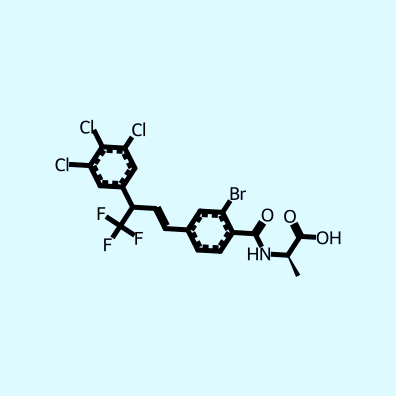 C[C@@H](NC(=O)c1ccc(/C=C/C(c2cc(Cl)c(Cl)c(Cl)c2)C(F)(F)F)cc1Br)C(=O)O